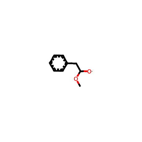 COC([O])Cc1ccccc1